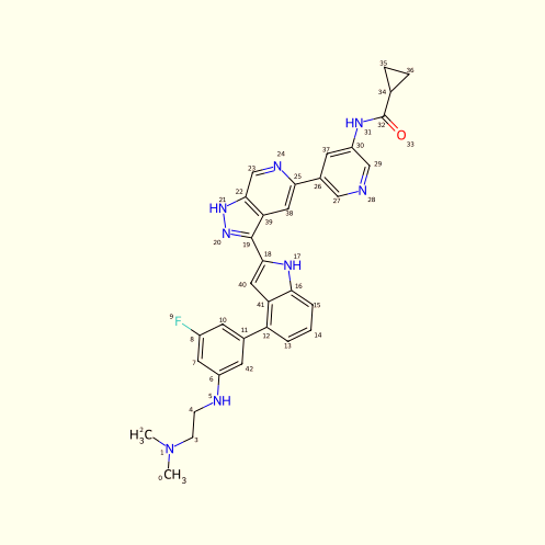 CN(C)CCNc1cc(F)cc(-c2cccc3[nH]c(-c4n[nH]c5cnc(-c6cncc(NC(=O)C7CC7)c6)cc45)cc23)c1